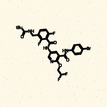 CC(C)(C)C(=O)NCc1ccc(F)c(C(=O)Nc2cnc(OCC(F)F)c(C(=O)Nc3ccc(Br)cc3)c2)c1F